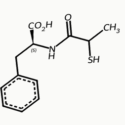 CC(S)C(=O)N[C@@H](Cc1ccccc1)C(=O)O